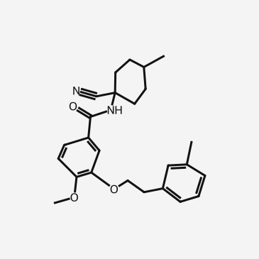 COc1ccc(C(=O)NC2(C#N)CCC(C)CC2)cc1OCCc1cccc(C)c1